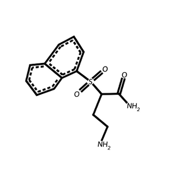 NCCC(C(N)=O)S(=O)(=O)c1cccc2ccccc12